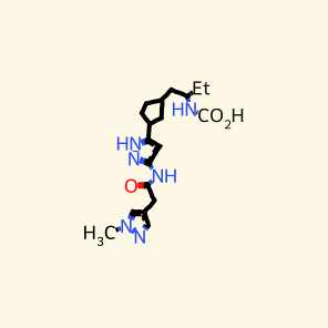 CCC(CC1CCC(c2cc(NC(=O)Cc3cnn(C)c3)n[nH]2)C1)NC(=O)O